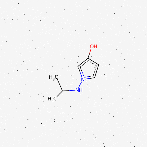 CC(C)Nn1ccc(O)c1